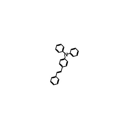 C(=Cc1ccc(N(c2ccccc2)c2ccccc2)cc1)c1ccccc1